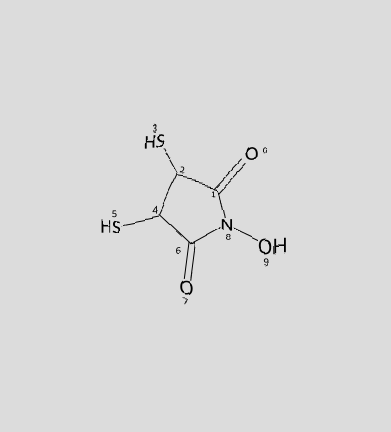 O=C1C(S)C(S)C(=O)N1O